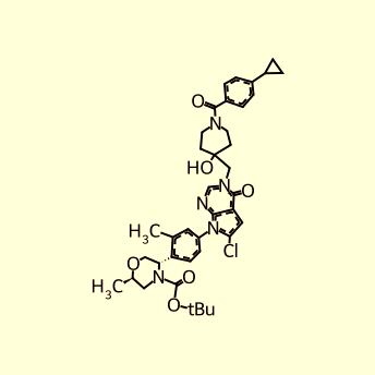 Cc1cc(-n2c(Cl)cc3c(=O)n(CC4(O)CCN(C(=O)c5ccc(C6CC6)cc5)CC4)cnc32)ccc1[C@H]1CO[C@H](C)CN1C(=O)OC(C)(C)C